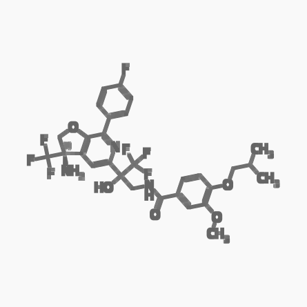 COc1cc(C(=O)NCC(O)(c2cc3c(c(-c4ccc(F)cc4)n2)OC[C@@]3(N)C(F)(F)F)C(F)(F)F)ccc1OCC(C)C